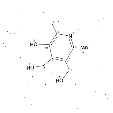 Cc1ncc(CO)c(CO)c1O.[Mn]